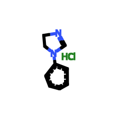 C1=NCCN1c1ccccc1.Cl